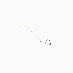 Cc1ccc(C(=O)CCN(CCO)C(C)(C)C)o1